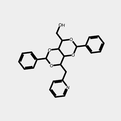 OCC1OC(c2ccccc2)OC2C(Cc3ccccn3)OC(c3ccccc3)OC12